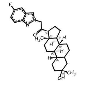 C[C@@]1(O)CC[C@H]2C(CC[C@@H]3[C@@H]2CC[C@]2(C)[C@@H](C(=O)Cn4cc5cc(F)ccc5n4)CC[C@@H]32)C1